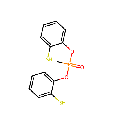 CP(=O)(Oc1ccccc1S)Oc1ccccc1S